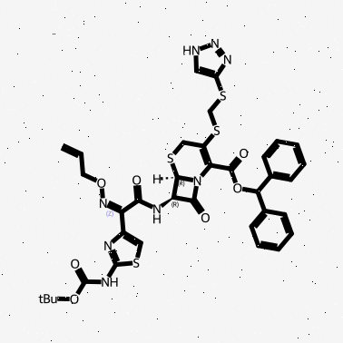 C=CCO/N=C(\C(=O)N[C@@H]1C(=O)N2C(C(=O)OC(c3ccccc3)c3ccccc3)=C(SCSc3c[nH]nn3)CS[C@H]12)c1csc(NC(=O)OC(C)(C)C)n1